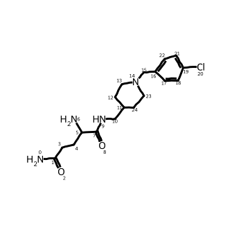 NC(=O)CCC(N)C(=O)NCC1CCN(Cc2ccc(Cl)cc2)CC1